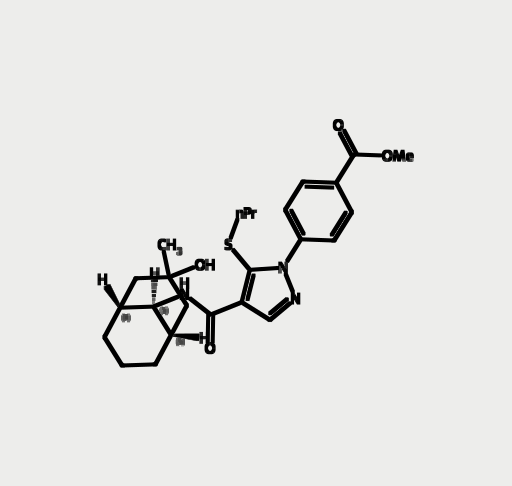 CCCSc1c(C(=O)N[C@@H]2[C@@H]3CCC[C@H]2CC(C)(O)C3)cnn1-c1ccc(C(=O)OC)cc1